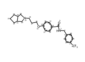 O=C(NCc1ccc(C(F)(F)F)cc1)c1ccc(OCCCN2CC3CCCC3C2)cc1